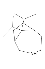 CC(C)C1(C(C)C)C2CCNCC1CC2